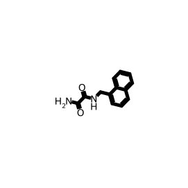 NC(=O)C(=O)NCc1cccc2ccccc12